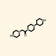 O=C(CN1CCNCC1)N1CCN(C2CCNCC2)CC1